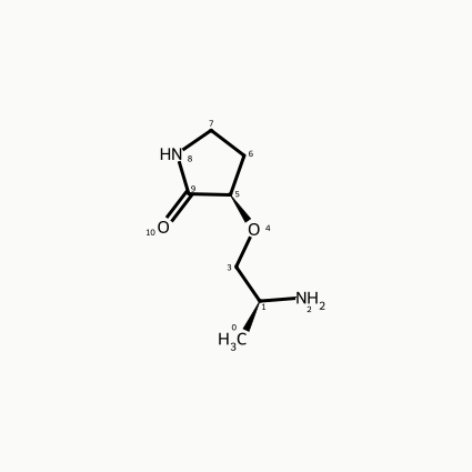 C[C@H](N)CO[C@@H]1CCNC1=O